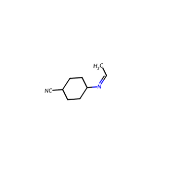 C/C=N\C1CCC(C#N)CC1